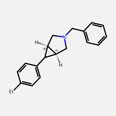 CCc1ccc(C2[C@H]3CN(Cc4ccccc4)C[C@@H]23)cc1